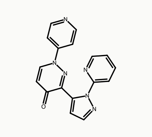 O=c1ccn(-c2ccncc2)nc1-c1ccnn1-c1ccccn1